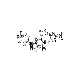 CN(C)c1nc([C@@H]2CC[C@@H]2c2nc3c(cnn3C3CCC(F)(F)CC3)c(=O)[nH]2)cs1